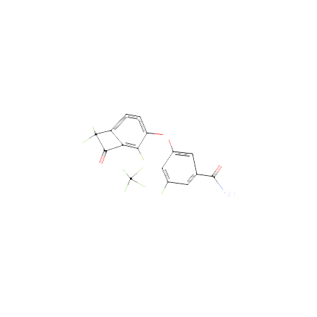 NC(=O)c1cc(F)cc(OC2=C=C=C3C(=C2SC(F)(F)F)C(=O)C3(F)F)c1